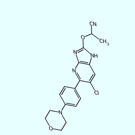 CC(C#N)Oc1nc2nc(-c3ccc(N4CCOCC4)cc3)c(Cl)cc2[nH]1